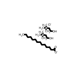 CCCCCCCCCCCCCC(=O)[O-].C[N+](C)(C)CCO.C[N+](C)(C)CCO.[Cl-]